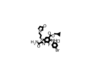 NC(=O)c1nc2c(F)c(Nc3ccc(Br)cc3Cl)c(C(=O)OCC3CC3)cc2n1CCCN1CCC(=O)C1